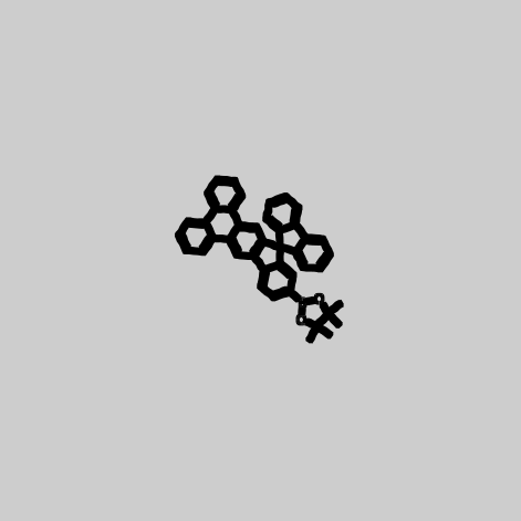 CC1(C)OB(c2ccc3c(c2)C2(c4ccccc4-c4ccccc42)c2cc4c5ccccc5c5ccccc5c4cc2-3)OC1(C)C